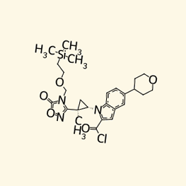 C[C@]1(c2noc(=O)n2COCC[Si](C)(C)C)C[C@@H]1n1c(C(=O)Cl)cc2cc(C3CCOCC3)ccc21